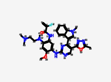 C=C(F)C(=O)Nc1cc(Nc2ncc(-c3nnc(C)o3)c(-c3cn(C)c4ccccc34)n2)c(OC)cc1N(C)CCN(C)C